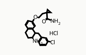 Cl.NC(=O)C1(CCOc2ccc3c(c2)C(Cc2cccc(Cl)c2)C(N)CC3)CC1